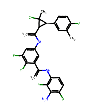 C=C(Nc1ccc(F)c(N)c1F)c1cc(NC(=C)C2[C@H](c3ccc(F)c(C)c3)C2(C)Cl)cc(F)c1Cl